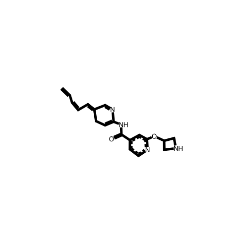 C=C/C=C\C=C1\C=NC(NC(=O)c2ccnc(OC3CNC3)c2)=CC1